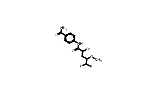 COC(CC(Br)C(=O)Nc1ccc(C(N)=O)cc1)C(F)F